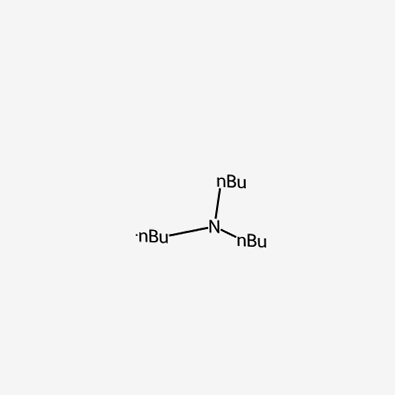 [CH2]CC[CH]N(CCCC)CCCC